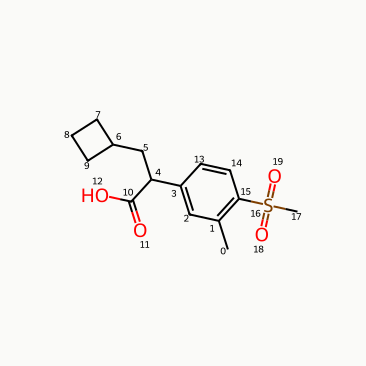 Cc1cc(C(CC2CCC2)C(=O)O)ccc1S(C)(=O)=O